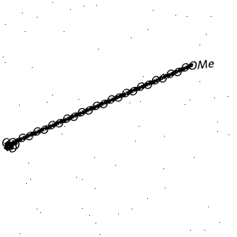 COCCOCCOCCOCCOCCOCCOCCOCCOCCOCCOCCOCCOCCOCCOCCOCCOCCOCCOCCOCCOCCOCCOCCOCCC(=O)ON1C(=O)CCC1=O